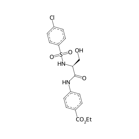 CCOC(=O)c1ccc(NC(=O)[C@H](CO)NS(=O)(=O)c2ccc(Cl)cc2)cc1